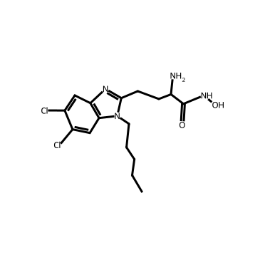 CCCCCn1c(CCC(N)C(=O)NO)nc2cc(Cl)c(Cl)cc21